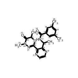 CC1OC(c2nccnc2C(C)NC(=O)c2cc(C(F)(F)F)cc(C(F)(F)F)c2)=NN(C)C1=O